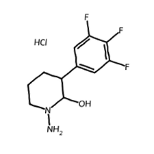 Cl.NN1CCCC(c2cc(F)c(F)c(F)c2)C1O